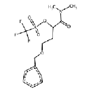 CN(C)C(=O)C(CCOCc1ccccc1)OS(=O)(=O)C(F)(F)F